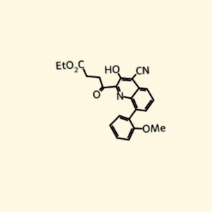 CCOC(=O)CCC(=O)c1nc2c(-c3ccccc3OC)cccc2c(C#N)c1O